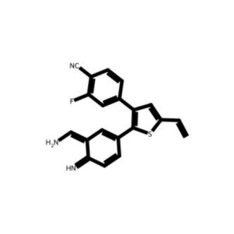 C=Cc1cc(-c2ccc(C#N)c(F)c2)c(C2=C/C(=C/N)C(=N)C=C2)s1